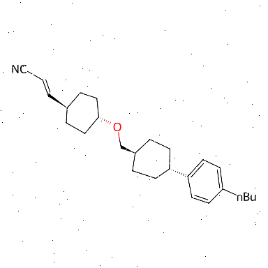 CCCCc1ccc([C@H]2CC[C@H](CO[C@H]3CC[C@H](C=CC#N)CC3)CC2)cc1